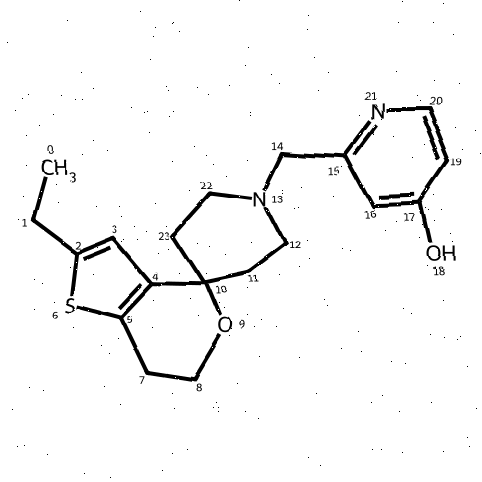 CCc1cc2c(s1)CCOC21CCN(Cc2cc(O)ccn2)CC1